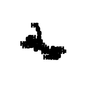 C#CCOCCOCCOCCOCCC(=O)N[C@@H](CCOC(=O)NCCO[C@@H]([C@@H]1OC(C(=O)O)=C[C@H](NC(=N)N)[C@H]1NC(C)=O)[C@H](O)CO)COC(=O)NCCO[C@H]([C@H](O)CO)[C@H]1C[C@@H](NC(=N)N)C=C(C(=O)O)O1